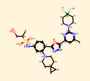 Cc1cc(-c2nnc(-c3ccc(NS(=O)(=O)C(C)CO)cc3N3CCC4(CC3)CC4)o2)nc(N2CCC(F)(F)CC2)n1